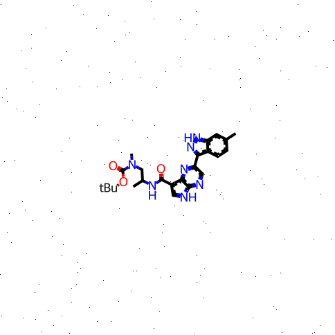 Cc1ccc2c(-c3cnc4[nH]cc(C(=O)NC(C)CN(C)C(=O)OC(C)(C)C)c4n3)n[nH]c2c1